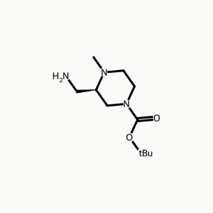 CN1CCN(C(=O)OC(C)(C)C)C[C@H]1CN